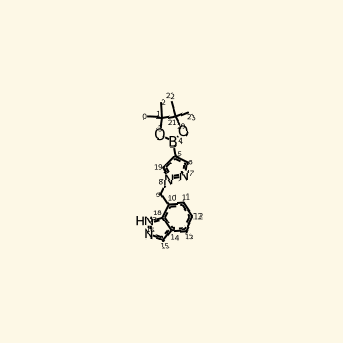 CC1(C)OB(c2cnn(Cc3cccc4cn[nH]c34)c2)OC1(C)C